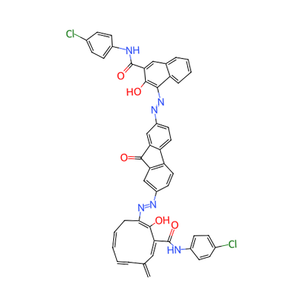 C=C1/C=C\C=C/C/C(N=Nc2ccc3c(c2)C(=O)c2cc(N=Nc4c(O)c(C(=O)Nc5ccc(Cl)cc5)cc5ccccc45)ccc2-3)=C(O)\C(C(=O)Nc2ccc(Cl)cc2)=C/1